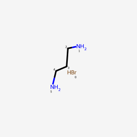 Br.NCCCN